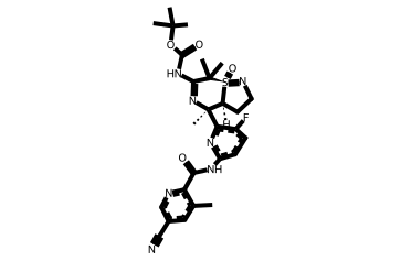 Cc1cc(C#N)cnc1C(=O)Nc1ccc(F)c([C@@]2(C)N=C(NC(=O)OC(C)(C)C)C(C)(C)[S@@]3(=O)=NCC[C@@H]23)n1